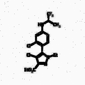 CCOC(=O)c1nn(CC)c(-c2ccc(N[C@H](C)C(F)(F)F)cc2Cl)c1Cl